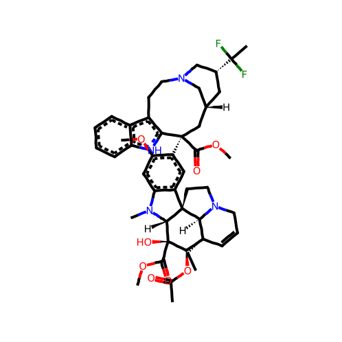 CC[C@]12C=CCN3CC[C@@]4(c5cc([C@@]6(C(=O)OC)C[C@H]7C[C@@H](C(C)(F)F)CN(CCc8c6[nH]c6ccccc86)C7)c(OC)cc5N(C)[C@H]4[C@@](O)(C(=O)OC)[C@@H]1OC(C)=O)[C@@H]32